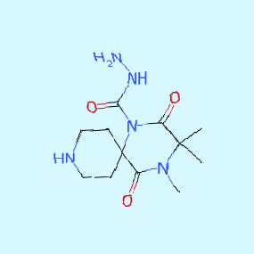 CN1C(=O)C2(CCNCC2)N(C(=O)NN)C(=O)C1(C)C